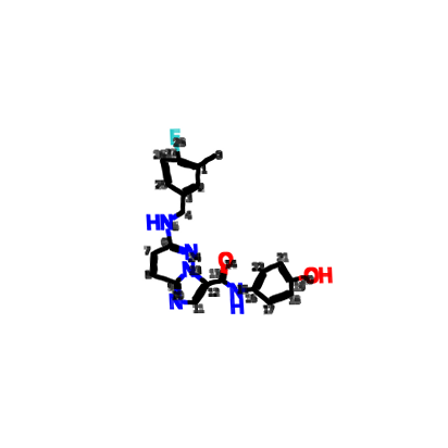 Cc1cc(CNc2ccc3ncc(C(=O)Nc4ccc(O)cc4)n3n2)ccc1F